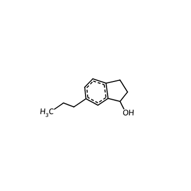 CCCc1ccc2c(c1)C(O)CC2